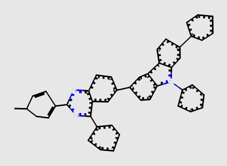 CC1C=CC(c2nc(-c3ccccc3)c3cc(-c4ccc5c(c4)c4ccc(-c6ccccc6)cc4n5-c4ccccc4)ccc3n2)=CC1